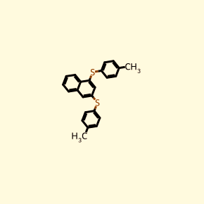 Cc1ccc(Sc2cc(Sc3ccc(C)cc3)c3ccccc3c2)cc1